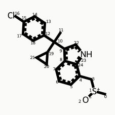 C[S+]([O-])Cc1cccc2c(C(C)(c3ccc(Cl)cc3)C3CC3)c[nH]c12